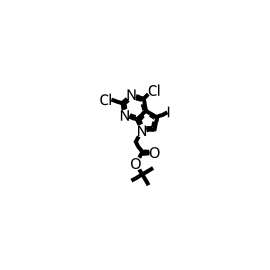 CC(C)(C)OC(=O)Cn1cc(I)c2c(Cl)nc(Cl)nc21